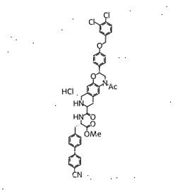 COC(=O)[C@H](Cc1ccc(-c2ccc(C#N)cc2)cc1)NC(=O)C1Cc2cc3c(cc2CN1)O[C@@H](c1ccc(OCc2ccc(Cl)c(Cl)c2)cc1)CN3C(C)=O.Cl